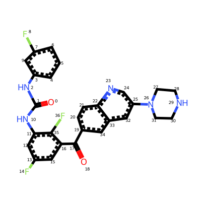 O=C(Nc1cccc(F)c1)Nc1cc(F)cc(C(=O)c2ccc3ncc(N4CCNCC4)cc3c2)c1F